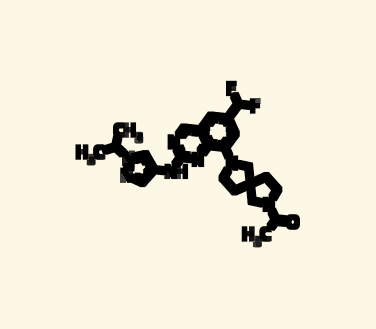 CC(=O)N1CCC2(CCN(c3cc(C(F)F)cc4cnc(Nc5cnn(C(C)C)c5)nc34)C2)C1